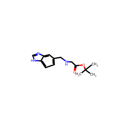 CC(C)(C)OC(=O)CNCc1ccc2[nH]cnc2c1